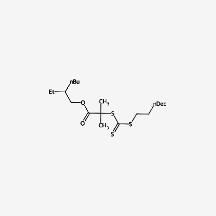 CCCCCCCCCCCCSC(=S)SC(C)(C)C(=O)OCC(CC)CCCC